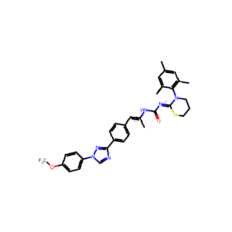 C/C(=C\c1ccc(-c2ncn(-c3ccc(OC(F)(F)F)cc3)n2)cc1)NC(=O)/N=C1\SCCCN1c1c(C)cc(C)cc1C